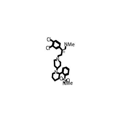 CNC[C@@H](CCN1CCC(N2CCCCC2c2ccccc2S(=O)(=O)NC)CC1)c1ccc(Cl)c(Cl)c1